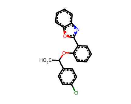 O=C(O)C(Oc1ccccc1-c1nc2ccccc2o1)c1ccc(Cl)cc1